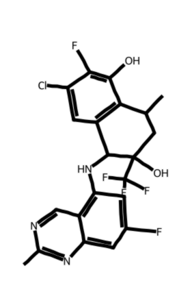 Cc1ncc2c(NC3c4cc(Cl)c(F)c(O)c4C(C)CC3(O)C(F)(F)F)cc(F)cc2n1